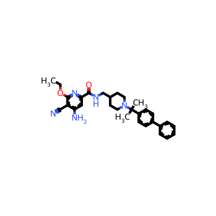 CCOc1nc(C(=O)NCC2CCN(C(C)(C)c3ccc(-c4ccccc4)cc3)CC2)cc(N)c1C#N